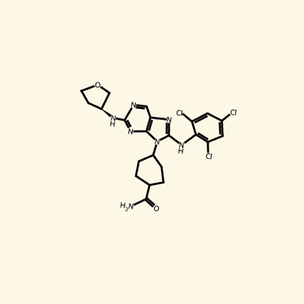 NC(=O)C1CCC(n2c(Nc3c(Cl)cc(Cl)cc3Cl)nc3cnc(N[C@H]4CCOC4)nc32)CC1